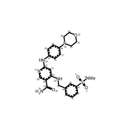 CNS(=O)(=O)c1cccc(CNc2cc(Nc3ccc(N4CCOCC4)cc3)ncc2C(N)=O)c1